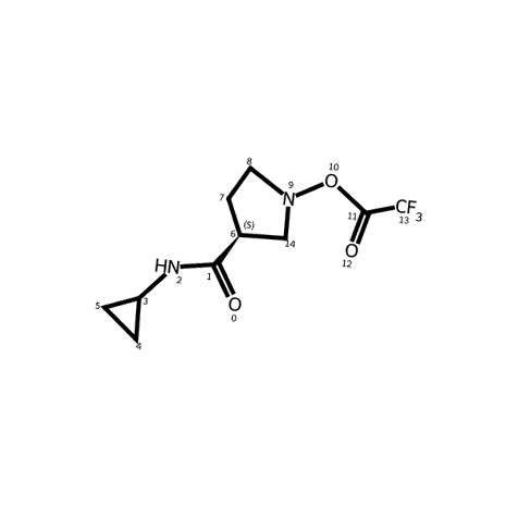 O=C(NC1CC1)[C@H]1CCN(OC(=O)C(F)(F)F)C1